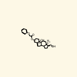 C[C@]12CC[C@H](OC(=O)COc3ccccc3)CC1=CCC1C2CC[C@]2(C)C(=NO)CCC12